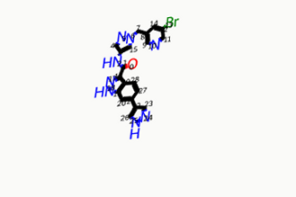 O=C(Nc1cnn(Cc2cncc(Br)c2)c1)c1n[nH]c2cc(-c3cn[nH]c3)ccc12